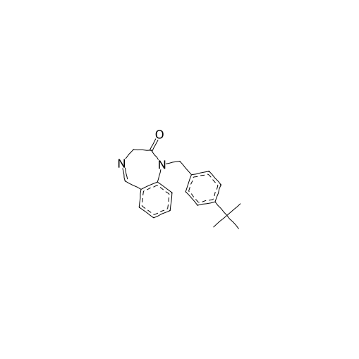 CC(C)(C)c1ccc(CN2C(=O)CN=Cc3ccccc32)cc1